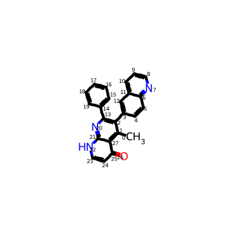 Cc1c(-c2ccc3ncccc3c2)c(-c2ccccc2)nc2[nH]ccc(=O)c12